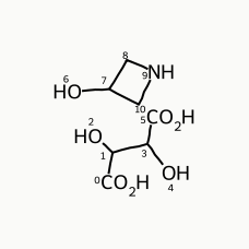 O=C(O)C(O)C(O)C(=O)O.OC1CNC1